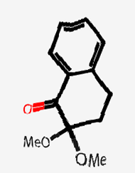 COC1(OC)CCc2ccccc2C1=O